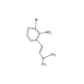 CN(C)/C=C/c1cccc(Br)c1[N+](=O)[O-]